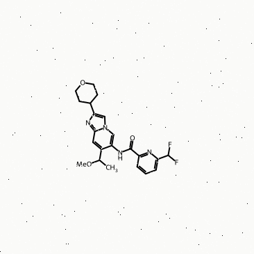 COC(C)c1cc2nc(C3CCOCC3)cn2cc1NC(=O)c1cccc(C(F)F)n1